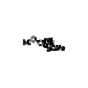 COC(=O)c1nn[nH]c1Oc1ccc(-c2cccc(C#N)c2)cc1